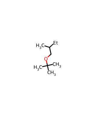 CCC(C)COC(C)(C)C